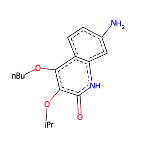 CCCCOc1c(OC(C)C)c(=O)[nH]c2cc(N)ccc12